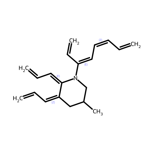 C=C/C=C\C=C(/C=C)N1CC(C)CC(=C/C=C)/C1=C\C=C